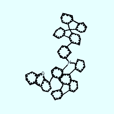 c1cc(-c2cccc3c2-c2ccccc2C32c3ccccc3-c3ccccc32)cc(N(c2ccc(-c3cccc4c3oc3ccccc34)cc2)c2ccccc2-c2ccc3c4c(cccc24)-c2ccccc2-3)c1